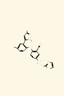 COc1cc(-c2cc(Cl)ccc2Oc2ccc(S(=O)(=O)Nc3nccs3)cc2C#N)n(C)n1